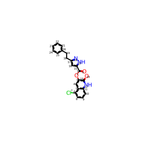 O=C(Oc1cc2c(Cl)cccc2[nH]c1=O)c1cc(CCc2ccccc2)n[nH]1